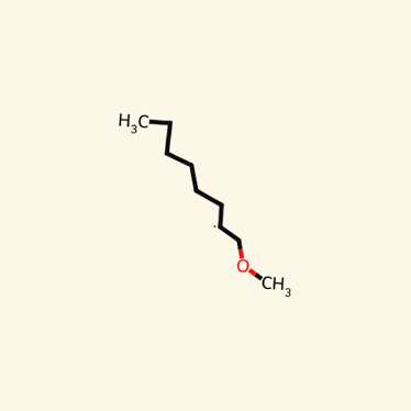 CCCCCC[CH]COC